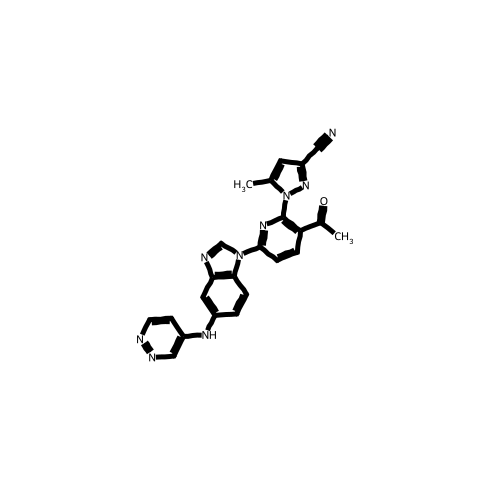 CC(=O)c1ccc(-n2cnc3cc(Nc4ccnnc4)ccc32)nc1-n1nc(C#N)cc1C